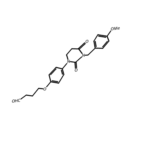 COc1ccc(CN2C(=O)CCN(c3ccc(OCCCC=O)cc3)C2=O)cc1